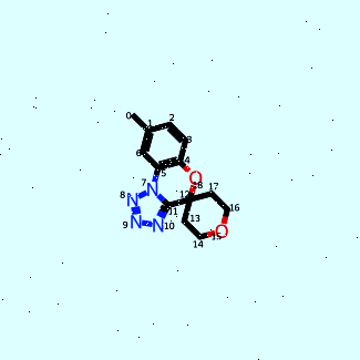 Cc1ccc2c(c1)-n1nnnc1C1(CCOCC1)O2